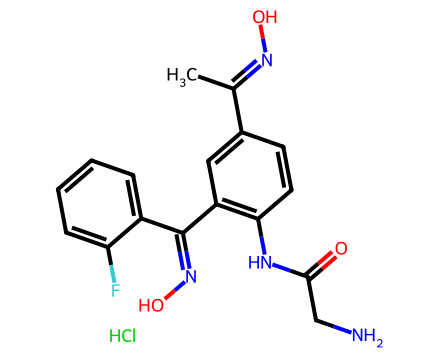 C/C(=N\O)c1ccc(NC(=O)CN)c(/C(=N/O)c2ccccc2F)c1.Cl